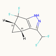 FC(F)c1n[nH]c2c1[C@@H]1C[C@@H]1C2(F)F